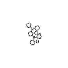 Clc1c(B2c3ccccc3Oc3ccncc32)cccc1N(c1ccccc1)c1ccccc1